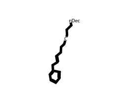 CCCCCCCCCCCCCCCCCC=CCc1[c]cccc1